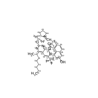 [2H]C([2H])(Oc1nc(C(C)CCCCCC)c2cc(C(F)(F)F)n(-c3cc(O)cc4ccc(F)c(CC)c34)c(=O)c2n1)[C@@H]1CCCN1C